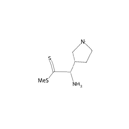 CSC(=S)C(N)C1CC[N]C1